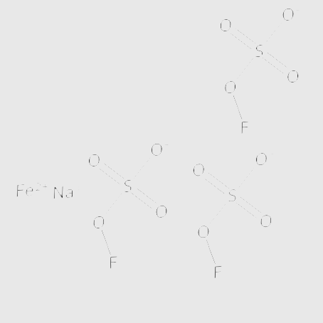 O=S(=O)([O-])OF.O=S(=O)([O-])OF.O=S(=O)([O-])OF.[Fe+2].[Na+]